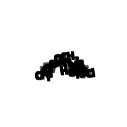 C=C(CCNC(=O)c1ncc(Cl)cc1F)NC(=O)COc1ccc(Cl)c(F)c1